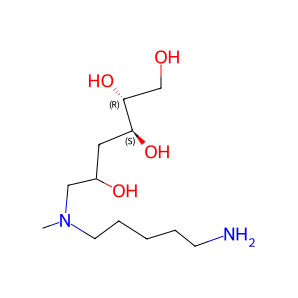 CN(CCCCCN)CC(O)C[C@H](O)[C@H](O)CO